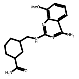 COc1cccc2c(N)nc(NCC3CCCC(C(N)=O)C3)nc12